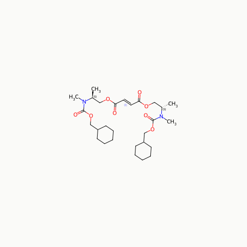 C[C@@H](COC(=O)/C=C/C(=O)OC[C@H](C)N(C)C(=O)OCC1CCCCC1)N(C)C(=O)OCC1CCCCC1